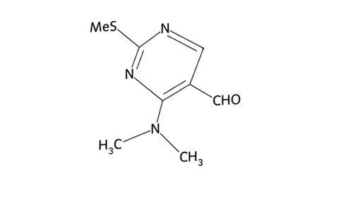 CSc1ncc(C=O)c(N(C)C)n1